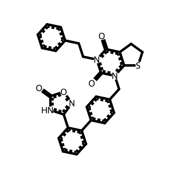 O=c1[nH]c(-c2ccccc2-c2ccc(Cn3c4c(c(=O)n(CCc5ccccc5)c3=O)CCS4)cc2)no1